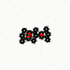 c1ccc(-n2c3ccccc3c3ccc4c5ccccc5n(-c5ccc(-c6cc7c8ccccc8n(-c8ccc(-n9c%10ccccc%10c%10ccc%11c%12ccccc%12n(-c%12ccccc%12)c%11c%109)cc8)c7c7c6c6ccccc6n7-c6ccccc6)cc5)c4c32)cc1